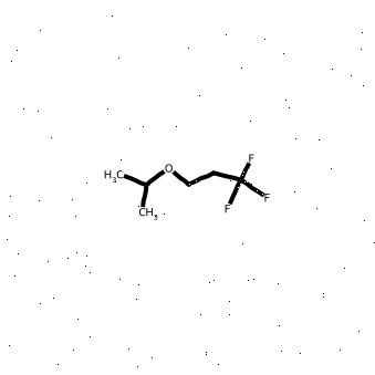 C[C](C)OCCC(F)(F)F